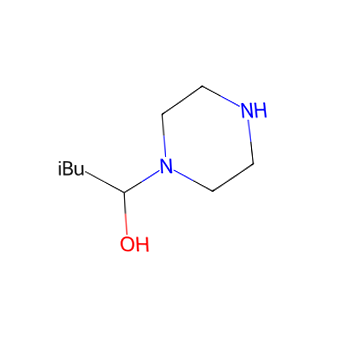 CCC(C)C(O)N1CCNCC1